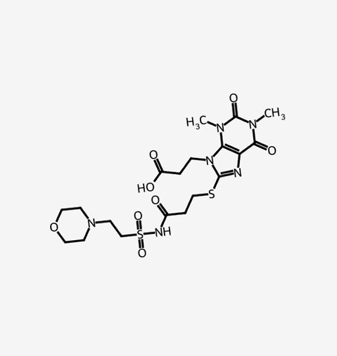 Cn1c(=O)c2nc(SCCC(=O)NS(=O)(=O)CCN3CCOCC3)n(CCC(=O)O)c2n(C)c1=O